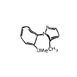 COc1ccccc1-n1nccc1C